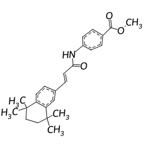 COC(=O)c1ccc(NC(=O)/C=C/c2ccc3c(c2)C(C)(C)CCC3(C)C)cc1